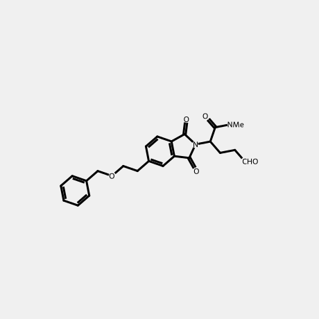 CNC(=O)C(CCC=O)N1C(=O)c2ccc(CCOCc3ccccc3)cc2C1=O